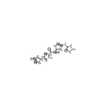 O=C(Nc1cnn(CC2CCCO2)c1)c1csc(-c2cn[nH]c2)n1